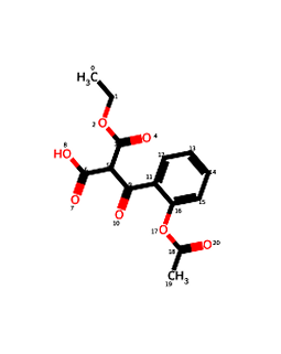 CCOC(=O)C(C(=O)O)C(=O)c1ccccc1OC(C)=O